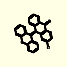 O=C1c2ccccc2C(=C2c3ccccc3Oc3ccccc32)c2cc(Cl)ccc21